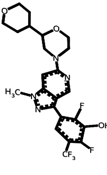 Cn1nc(-c2cc(C(F)(F)F)c(F)c(O)c2F)c2cnc(N3CCOC(C4CCOCC4)C3)cc21